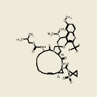 COc1ccc2nc(C(F)(F)F)c3c(c2c1)[C@@H](N(C)C)C[C@]1(C[C@H]2C(=O)N[C@]4(C(=O)N5C6(CC6)S5(=O)=O)C[C@H]4/C=C\CCCCC[C@H](NC(=O)OCC(C)C)C(=O)N2C1)O3